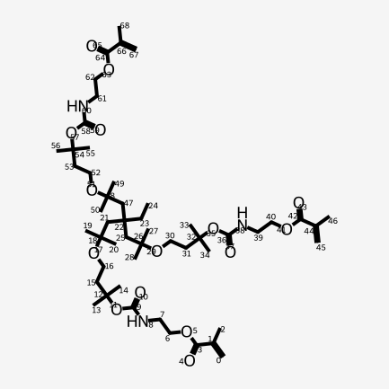 C=C(C)C(=O)OCCNC(=O)OC(C)(C)CCOC(C)(C)CC(CC)(CC(C)(C)OCCC(C)(C)OC(=O)NCCOC(=O)C(=C)C)CC(C)(C)OCCC(C)(C)OC(=O)NCCOC(=O)C(=C)C